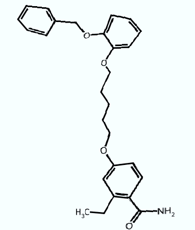 CCc1cc(OCCCCCOc2ccccc2OCc2ccccc2)ccc1C(N)=O